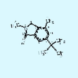 CN1Cc2c(cc(C(C)(C)O)cc2C(F)(F)F)C1=O